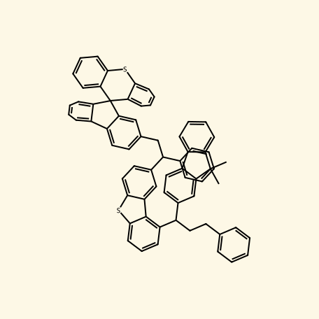 CC1(C)c2ccccc2-c2ccc(C(CCc3ccccc3)c3cccc4sc5ccc(C(Cc6ccc7c(c6)C6(c8ccccc8Sc8ccccc86)c6ccccc6-7)c6ccccc6)cc5c34)cc21